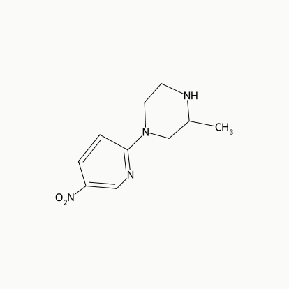 CC1CN(c2ccc([N+](=O)[O-])cn2)CCN1